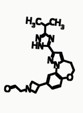 CC(C)c1n[nH]c(-c2cc3n(n2)-c2cc(C4CN(CC=O)C4)ccc2OCC3)n1